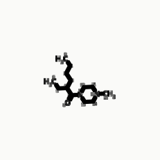 CCCCC(CC)C(=O)N1CCN(C)CC1